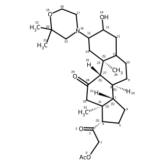 CC(=O)OCC(=O)[C@H]1CC[C@H]2[C@@H]3CCC4CC(O)C(N5CCOC(C)(C)C5)C[C@]4(C)[C@H]3C(=O)C[C@]12C